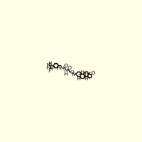 C[C@]12CC/C(=N\OCC(=O)NC(=O)NCc3ccc(C4(C(F)(F)F)N=N4)cc3)C[C@@H]1CC[C@@H]1[C@@H]2CC[C@]2(C)C(=O)CC[C@@H]12